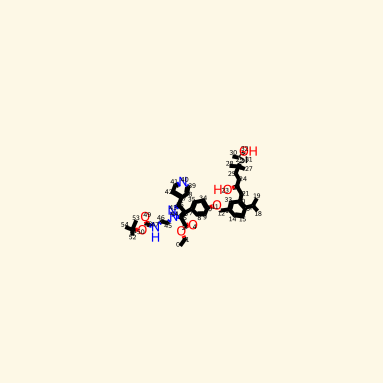 CCOC(=O)c1c(-c2ccc(OCc3ccc(C(C)C)c(CC(O)CCC(C)(C)[Si](C)(C)O)c3)cc2)c(-c2ccncc2)nn1CCNC(=O)OC(C)(C)C